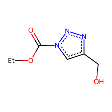 CCOC(=O)n1cc(CO)nn1